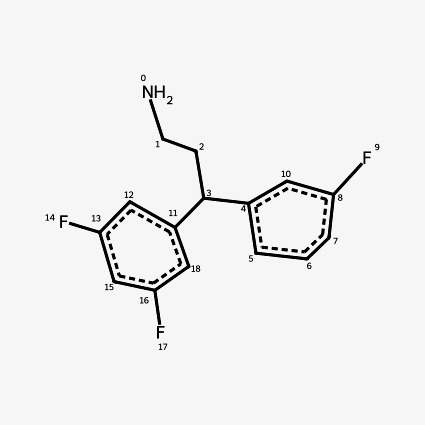 NCCC(c1cccc(F)c1)c1cc(F)cc(F)c1